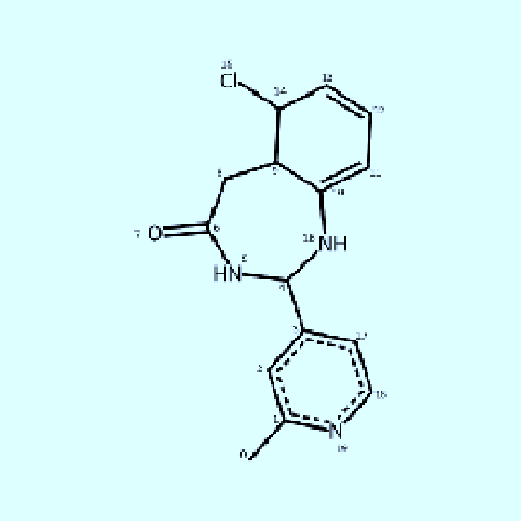 Cc1cc(C2NC(=O)CC3C(=CC=CC3Cl)N2)ccn1